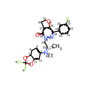 CCN(C1=CCC2OC(F)(F)OC2=C1)[C@@H](C)Cn1nc(-c2cccc(F)c2)c2c(c1=O)CCO2